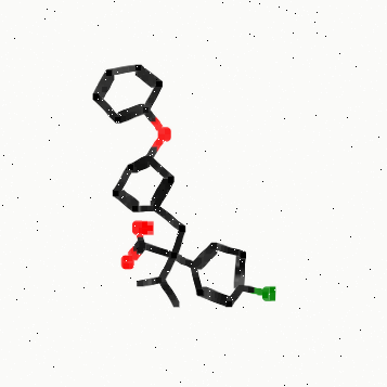 CC(C)C(Cc1cccc(Oc2ccccc2)c1)(C(=O)O)c1ccc(Cl)cc1